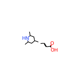 CC1CC(C)NC(C)C1.CC=CC(=O)O